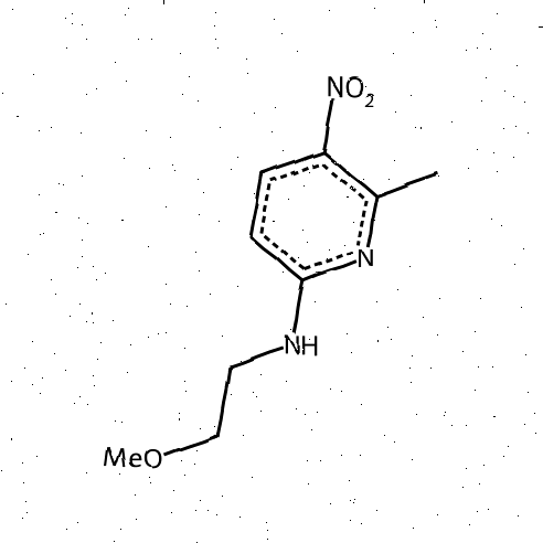 COCCNc1ccc([N+](=O)[O-])c(C)n1